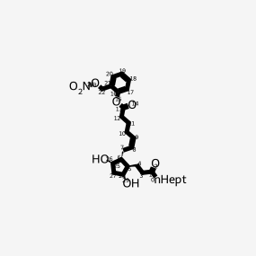 CCCCCCCC(=O)CC[C@@H]1[C@@H](C/C=C\CCCC(=O)Oc2ccccc2CO[N+](=O)[O-])[C@@H](O)C[C@H]1O